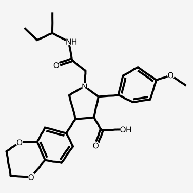 CCC(C)NC(=O)CN1CC(c2ccc3c(c2)OCCO3)C(C(=O)O)C1c1ccc(OC)cc1